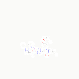 COc1ccc2c(c1)c1c(cnn1CC(=O)N1CCCCC1CN(C)C1CCCCC1)c(=O)n2C